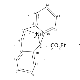 CCOC(=O)C12NC(=[C]c3ccccc31)c1ccccc12